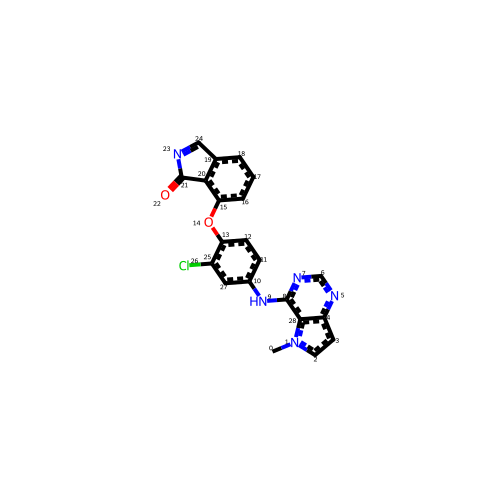 Cn1ccc2ncnc(Nc3ccc(Oc4cccc5c4C(=O)N=C5)c(Cl)c3)c21